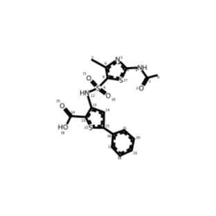 CC(=O)Nc1nc(C)c(S(=O)(=O)Nc2cc(-c3ccccc3)sc2C(=O)O)s1